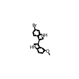 COc1ccc2[nH]cc(-c3c[nH]c4cc(Br)ccc34)c2c1